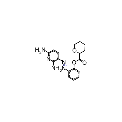 Nc1ccc(/N=N/c2ccccc2OC(=O)C2CCCCO2)c(N)n1